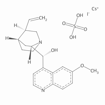 C=C[C@H]1CN2CC[C@H]1C[C@H]2[C@H](O)c1ccnc2ccc(OC)cc12.O=S(=O)(O)O.[Cs+].[I-]